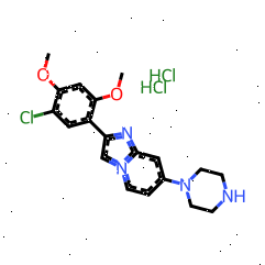 COc1cc(OC)c(-c2cn3ccc(N4CCNCC4)cc3n2)cc1Cl.Cl.Cl